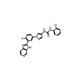 O=C(Nc1cnn(-c2ccc(F)c(-c3nc4ccncc4[nH]3)c2)c1)Nc1ccccc1Cl